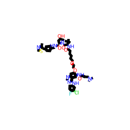 Cc1ncsc1-c1ccc(CNC(=O)[C@@H]2C[C@@H](O)CN2C(=O)[C@@H](NC(=O)CCCCCOCCOc2cc3ncnc(Nc4ccc(F)c(Cl)c4)c3cc2NC(=O)/C=C/CN(C)C)C(C)(C)C)cc1